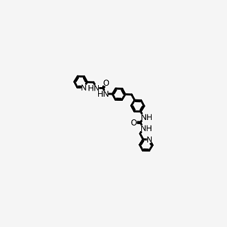 O=C(NCc1ccccn1)Nc1ccc(Cc2ccc(NC(=O)NCc3ccccn3)cc2)cc1